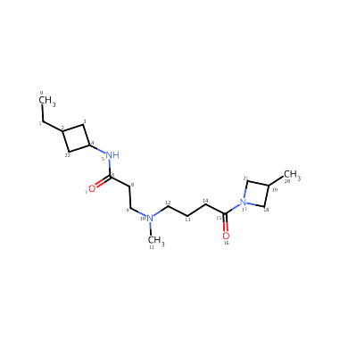 CCC1CC(NC(=O)CCN(C)CCCC(=O)N2CC(C)C2)C1